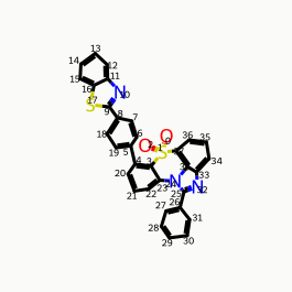 O=S1(=O)c2c(-c3ccc(-c4nc5ccccc5s4)cc3)cccc2-n2c(-c3ccccc3)nc3cccc1c32